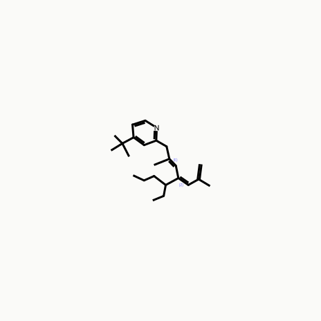 C=C(C)/C=C(\C=C(/C)Cc1cc(C(C)(C)C)ccn1)C(CC)CCC